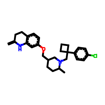 C=C1CCc2ccc(OCC3CCC(C)N(CC4(c5ccc(Cl)cc5)CCC4)C3)cc2N1